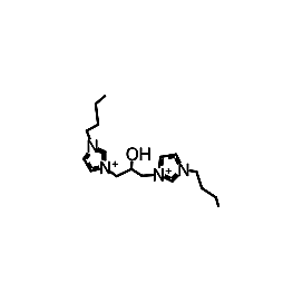 CCCCn1cc[n+](CC(O)C[n+]2ccn(CCCC)c2)c1